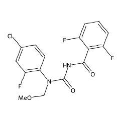 COCN(C(=O)NC(=O)c1c(F)cccc1F)c1ccc(Cl)cc1F